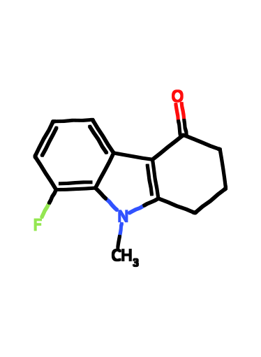 Cn1c2c(c3cccc(F)c31)C(=O)CCC2